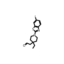 CCC1(CC=O)CCN(c2nc3ccc(I)cc3s2)CC1